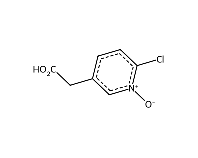 O=C(O)Cc1ccc(Cl)[n+]([O-])c1